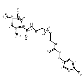 C[N+](C)(CCNC(=O)CCc1ccc(F)cc1)CCNC(=O)c1nc(Cl)c(N)nc1N